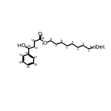 CCCCCCCCCCCCCCCCCCOC(=O)CCC(O)c1ccccc1